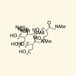 CNCC(=O)C(CC(=O)O)C(=O)O.CNCC(=O)C(CC(=O)O)C(=O)O.CNCC(=O)C(CC(=O)O)C(=O)O.[NaH].[NaH].[NaH]